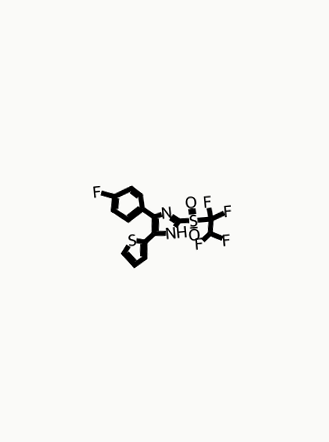 O=S(=O)(c1nc(-c2ccc(F)cc2)c(-c2cccs2)[nH]1)C(F)(F)C(F)F